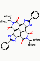 CCCCCCC(CCCCCC)N1C(=O)c2c3nc(-c4ccccc4)[nH]c3c3c4c(c5nc(-c6ccccc6)[nH]c5c(c24)C1=O)C(=O)N(C(CCCCCC)CCCCCC)C3=O